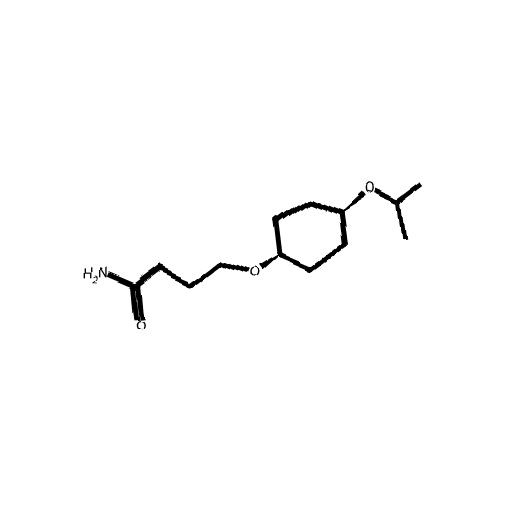 CC(C)O[C@H]1CC[C@@H](OCCCC(N)=O)CC1